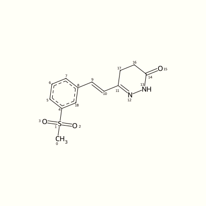 CS(=O)(=O)c1cccc(C=CC2=NNC(=O)CC2)c1